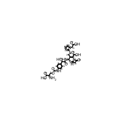 N[C@H](COC(=O)Nc1ccc(C(O)C(=O)NC2S[C@H]3CC(=O)N3C(C(=O)O)=C2CSc2nnnn2CC(=O)O)cc1)C(=O)O